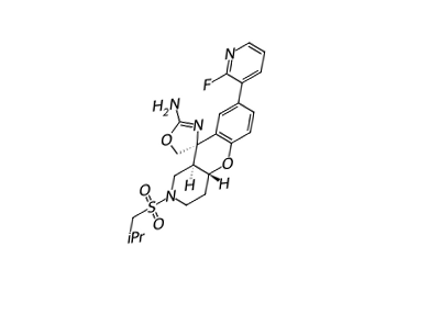 CC(C)CS(=O)(=O)N1CC[C@H]2Oc3ccc(-c4cccnc4F)cc3[C@@]3(COC(N)=N3)[C@@H]2C1